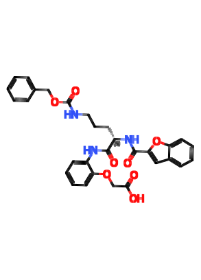 O=C(O)COc1ccccc1NC(=O)[C@H](CCCNC(=O)OCc1ccccc1)NC(=O)c1cc2ccccc2o1